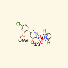 COCOc1cc(Cl)ccc1-c1cc2c(nn1)N([C@@H]1C[C@H]3CC[C@@H](C1)N3C(=O)OC(C)(C)C)CCO2